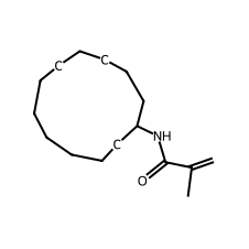 C=C(C)C(=O)NC1CCCCCCCCCCC1